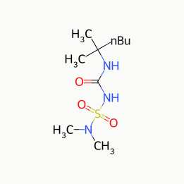 CCCCC(C)(C)NC(=O)NS(=O)(=O)N(C)C